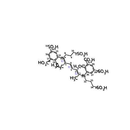 C\C(=C/C=C/C(C)=[N+](\CCCS(=O)(=O)O)c1cc(S(=O)(=O)O)cc(C(=O)O)c1C)N(CCCS(=O)(=O)O)c1cc(S(=O)(=O)O)cc(C(=O)O)c1C